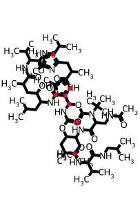 CC(=O)NCC(C(=O)NC(CC(C)C)C(CC(C)C(=O)NC(C(=O)NCC(C)C)C(C)C)OC(=O)NCC(NC(=O)C(C)Cc1nc(C)cs1)C(=O)NC(CC(C)C)C(O)CC(C)C(=O)NC(C(=O)NCC(C)C)C(C)C)N(C(=O)OCc1nc(C)cs1)C(C)(C)C